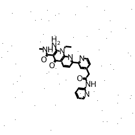 CCn1c(N)c(C(=O)NC)c(=O)c2ccc(-c3cc(CC(=O)Nc4ccccn4)ccn3)nc21